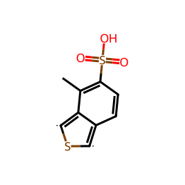 Cc1c(S(=O)(=O)O)ccc2[c]s[c]c12